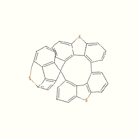 c1cc2c3c(c1)sc1cccc(c13)C1(c3cccc4sc5cccc-2c5c34)c2cccc3sc4cccc1c4c23